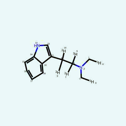 [2H]CN(C[2H])C([2H])([2H])C([2H])([2H])c1c[nH]c2ccccc12